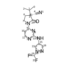 CC(C)[C@]1(C#N)CCN(c2ccnc(Nc3cnn(C(F)F)c3)n2)C1=O